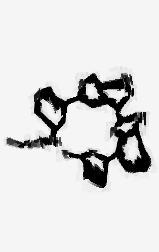 CCCCCNc1cncc(-c2cc3c(-c4nc5c(-c6ccc(F)s6)cccc5[nH]4)n[nH]c3cn2)c1